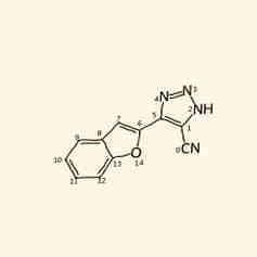 N#Cc1[nH]nnc1-c1cc2ccccc2o1